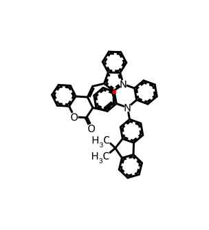 CC1(C)c2ccccc2-c2ccc(N(c3ccccc3)c3ccccc3-n3c4c(c5ccccc53)C=C3c5ccccc5OC(=O)C3C=C4)cc21